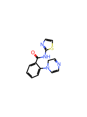 O=C(Nc1nccs1)c1ccccc1N1C=CN=CC1